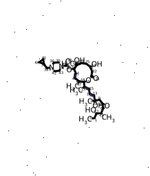 CCC(O)C(C)C1OC1CC(C)(O)/C=C/C=C(\C)C1OC(=O)CC(O)CCC(C)(O)C(OC(=O)N2CCN(CC3CC3)CC2)/C=C/C1C